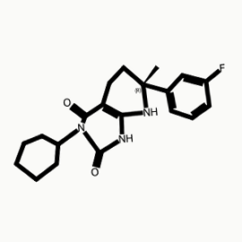 C[C@]1(c2cccc(F)c2)CCc2c([nH]c(=O)n(C3CCCCC3)c2=O)N1